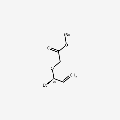 C=C[C@@H](CC)OCC(=O)OC(C)(C)C